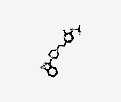 CC(=O)Nc1ccc(CCN2CCN(c3n[nH]c4ccccc34)CC2)nc1C